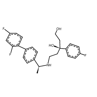 C[C@H](NCC[C@](O)(CCO)c1ccc(F)cc1)c1ccc(-c2ccc(F)cc2F)cc1